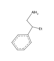 CCC([CH2][AlH2])c1ccccc1